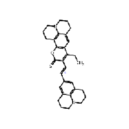 CCc1c(/C=C/c2cc3c4c(c2)CCCN4CCC3)c(=S)oc2c3c4c(cc12)CCCN4CCC3